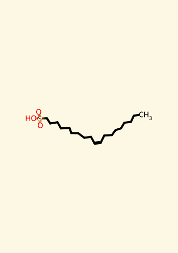 CCCCCCCC/C=C\CCCCCCCCCS(=O)(=O)O